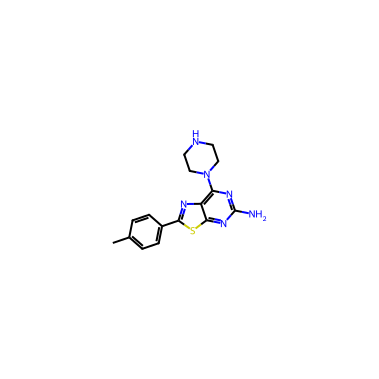 Cc1ccc(-c2nc3c(N4CCNCC4)nc(N)nc3s2)cc1